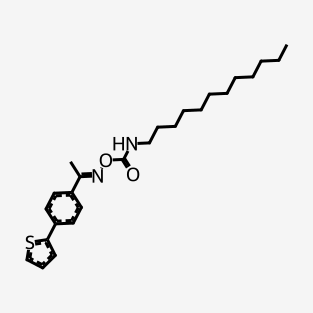 CCCCCCCCCCCCNC(=O)O/N=C(\C)c1ccc(-c2cccs2)cc1